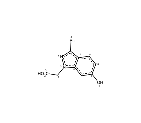 CC(=O)c1nn(CC(=O)O)c2cc(O)ccc12